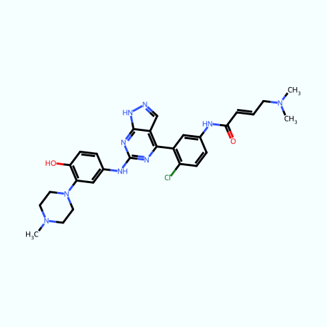 CN(C)C/C=C/C(=O)Nc1ccc(Cl)c(-c2nc(Nc3ccc(O)c(N4CCN(C)CC4)c3)nc3[nH]ncc23)c1